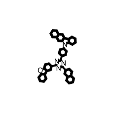 c1ccc2cc(-c3nc(-c4ccc(-n5c6ccccc6c6cc7ccccc7cc65)cc4)nc(-c4ccc5oc6ccccc6c5c4)n3)ccc2c1